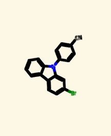 N#Cc1ccc(-n2c3ccccc3c3ccc(Br)cc32)cc1